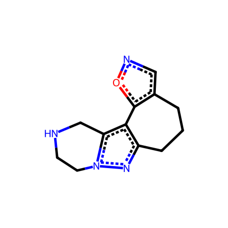 c1noc2c1CCCc1nn3c(c1-2)CNCC3